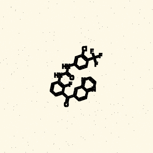 O=C(Nc1ccc(C(F)(F)F)c(Cl)c1)Nc1cccc(C(=O)c2ccc3nccnc3c2)c1F